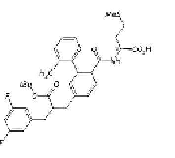 CSCC[C@H](NC(=O)c1ccc(CC(Cc2cc(F)cc(F)c2)C(=O)OC(C)(C)C)cc1-c1ccccc1C)C(=O)O